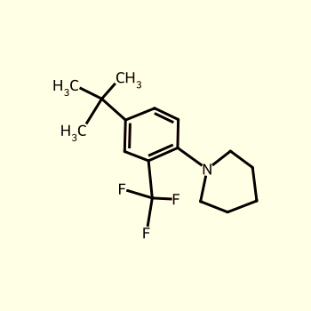 CC(C)(C)c1ccc(N2CCCCC2)c(C(F)(F)F)c1